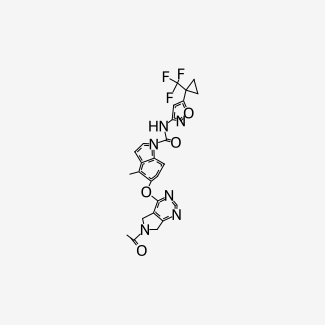 CC(=O)N1Cc2ncnc(Oc3ccc4c(ccn4C(=O)Nc4cc(C5(C(F)(F)F)CC5)on4)c3C)c2C1